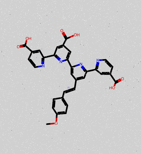 COc1ccc(/C=C/c2cc(-c3cc(C(=O)O)ccn3)nc(-c3cc(C(=O)O)cc(-c4cc(C(=O)O)ccn4)n3)c2)cc1